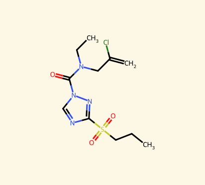 C=C(Cl)CN(CC)C(=O)n1cnc(S(=O)(=O)CCC)n1